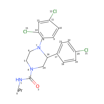 CC(C)NC(=O)N1CCN(c2ccc(Cl)cc2Cl)C(c2ccc(Cl)cc2)C1